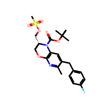 Cc1nc2c(cc1Cc1ccc(F)cc1)N(C(=O)OC(C)(C)C)[C@@H](COS(C)(=O)=O)CO2